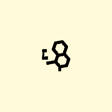 N#C[SeH].O=c1[nH]ccc2ccccc12